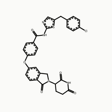 O=C1CCC(N2Cc3cc(Oc4ccc(C(=O)Nc5ncc(Cc6ccc(Cl)cc6)s5)cc4)ccc3C2=O)C(=O)N1